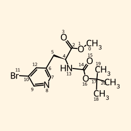 COC(=O)[C@H](Cc1cncc(Br)c1)NC(=O)OC(C)(C)C